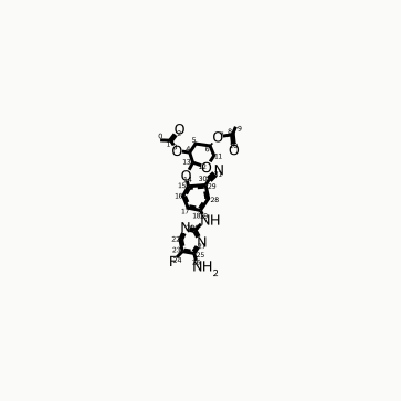 CC(=O)OC1C[C@H](OC(C)=O)COC1Oc1ccc(Nc2ncc(F)c(N)n2)cc1C#N